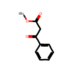 CC(C)(C)OC(=O)CC(=O)c1ccccc1